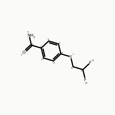 NC(=O)c1ccc(SCC(F)F)cc1